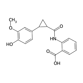 COc1cc(C2CC2C(=O)Nc2ccccc2C(=O)O)ccc1O